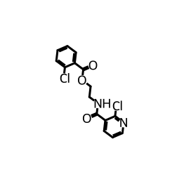 O=C(OCCNC(=O)c1cccnc1Cl)c1ccccc1Cl